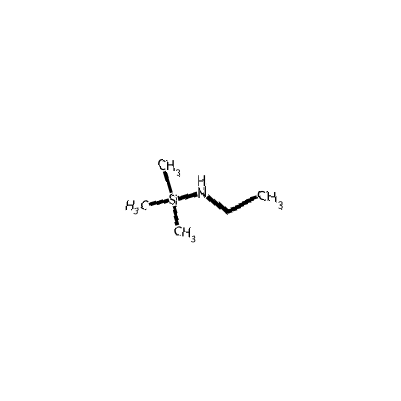 CCN[Si](C)(C)C